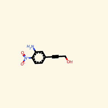 Nc1cc(C#CCO)ccc1[N+](=O)[O-]